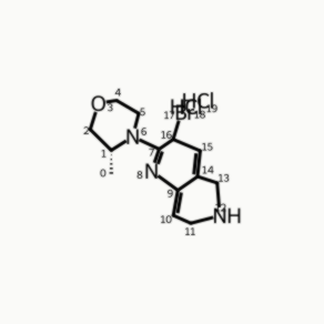 C[C@@H]1COCCN1C1=NC2=CCNCC2=CC1Br.Cl.Cl